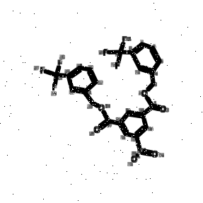 O=C(OCc1cccc(C(F)(F)F)c1)c1cc(C(=O)OCc2cccc(C(F)(F)F)c2)cc([N+](=O)[O-])c1